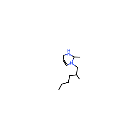 CCCCC(C)CN1C=CCNC1C